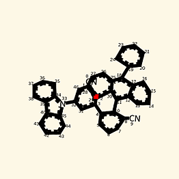 N#Cc1cc(-c2cccc(C#N)c2-c2c3ccccc3c(-c3ccccc3)c3ccccc23)cc(-n2c3ccccc3c3ccccc32)c1